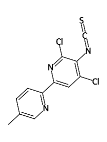 Cc1ccc(-c2cc(Cl)c(N=C=S)c(Cl)n2)nc1